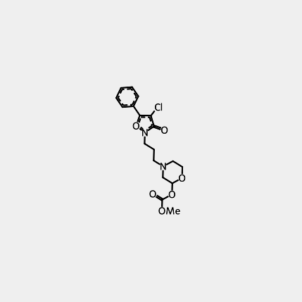 COC(=O)OC1CN(CCCn2oc(-c3ccccc3)c(Cl)c2=O)CCO1